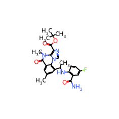 Cc1cc(C(C)Nc2ccc(F)cc2C(N)=O)c2c(c1)c(=O)n(C)c1c(C(=O)OC(C)(C)C)ncn21